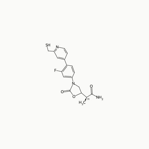 C[C@H](C(N)=O)C1CN(c2ccc(-c3ccnc(CS)c3)c(F)c2)C(=O)O1